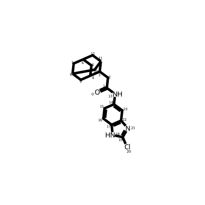 O=C(CC1C2CC3CC(C2)CC1C3)Nc1ccc2[nH]c(Cl)nc2c1